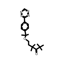 CC(C)(C)C(=O)C(C)(C)CCOC(C)(C)c1ccc(-c2nncnn2)cc1